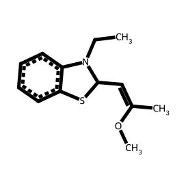 CCN1c2ccccc2SC1C=C(C)OC